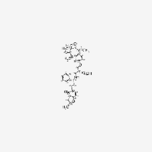 CCN1C(=O)C(C)(C)C(=O)N(C)c2cc(OCCCNC(CCn3ccc4oc(C)cc4c3=O)c3ccncc3)ccc21.Cl.Cl